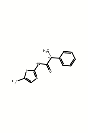 Cc1cnc(NC(=O)[C@H](C)c2ccccc2)s1